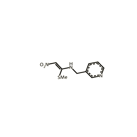 CS/C(=C\[N+](=O)[O-])NCc1cccnc1